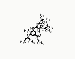 CCOC(=O)C1=C[C@@H](OC(CC)CC)[C@H](C)[C@@H](N/C(=N/C(=O)OC(C)(C)C)NC(=O)OC(C)(C)C)C1